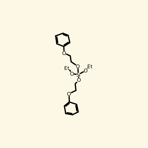 CCO[Si](OCC)(OCCOc1ccccc1)OCCOc1ccccc1